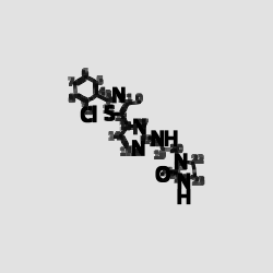 Cc1nc(-c2ccccc2Cl)sc1-c1ccnc(NCCN2CCNC2=O)n1